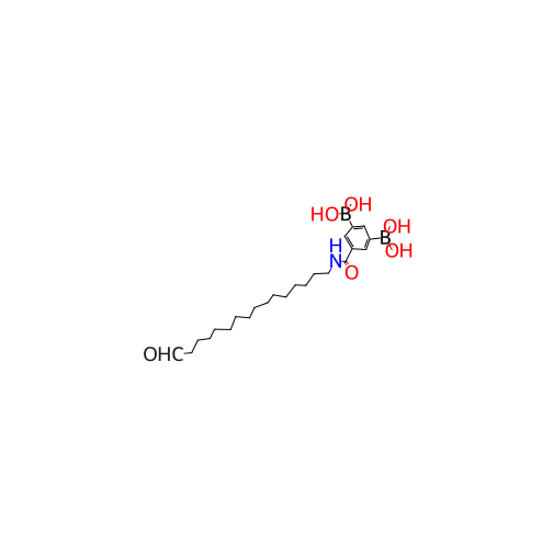 O=CCCCCCCCCCCCCCCCNC(=O)c1cc(B(O)O)cc(B(O)O)c1